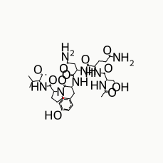 CC(=O)NC(CO)C(=O)NC(CCC(N)=O)C(=O)NC(CC(N)=O)C(=O)NC(Cc1ccc(O)cc1)C(=O)N1CCCC1C(=O)NC([C]=O)C(C)C